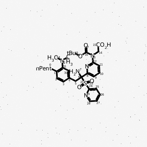 CCCCCc1ccc(CC(N)(c2cccc(N(CC(=O)O)C(=O)OC(C)(C)C)n2)S(=O)(=O)c2ccccn2)cc1N(C)C